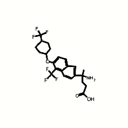 CC(N)(CCC(=O)O)c1ccc2c(C(F)(F)F)c(OC3CCC(C(F)(F)F)CC3)ccc2c1